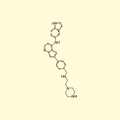 c1cc(Nc2ccc3[nH]ccc3c2)c2sc(-c3ccc(CNCCN4CCNCC4)cc3)cc2n1